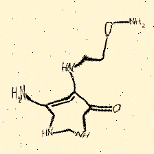 NOCNc1c(N)[nH][nH]c1=O